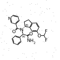 NC(=O)[C@@H](c1ccccc1)N(C(=O)c1cccnc1)[C@@H]1CCc2ccc(OC(F)F)cc21